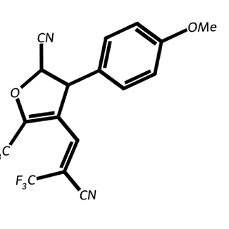 COc1ccc(C2C(C=C(C#N)C(F)(F)F)=C(C(F)(F)F)OC2C#N)cc1